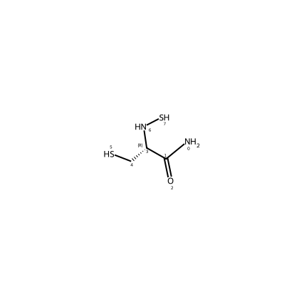 NC(=O)[C@H](CS)NS